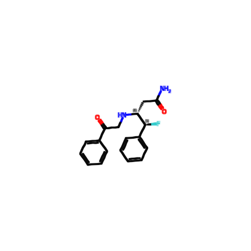 NC(=O)C[C@@H](NCC(=O)c1ccccc1)[C@@H](F)c1ccccc1